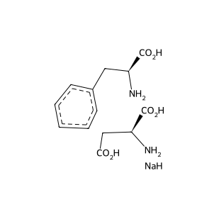 N[C@@H](CC(=O)O)C(=O)O.N[C@@H](Cc1ccccc1)C(=O)O.[NaH]